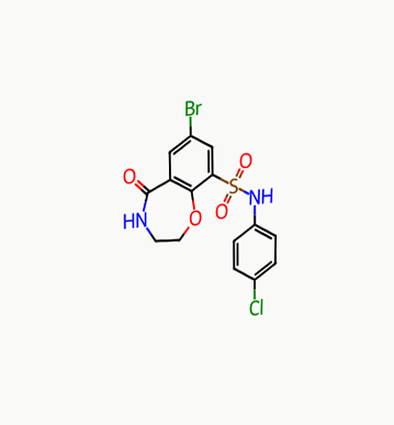 O=C1NCCOc2c1cc(Br)cc2S(=O)(=O)Nc1ccc(Cl)cc1